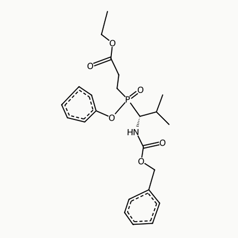 CCOC(=O)CCP(=O)(Oc1ccccc1)[C@@H](NC(=O)OCc1ccccc1)C(C)C